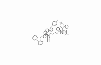 Cc1ccc(COC(=O)C(CCCCNC(CC(C)C)=C2C(=O)CC(C)(C)CC2=O)NC(=O)OCC2c3ccccc3-c3ccccc32)cc1